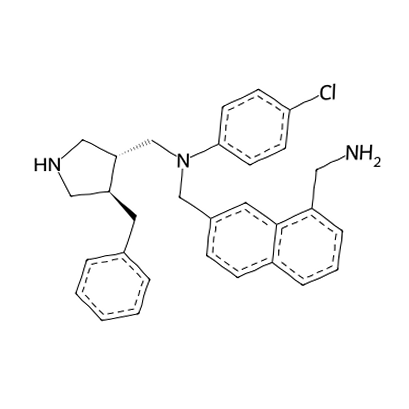 NCc1cccc2ccc(CN(C[C@H]3CNC[C@@H]3Cc3ccccc3)c3ccc(Cl)cc3)cc12